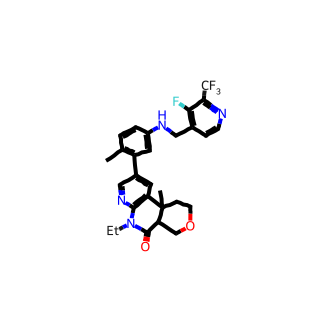 CCN1C(=O)C2COCCC2(C)c2cc(-c3cc(NCc4ccnc(C(F)(F)F)c4F)ccc3C)cnc21